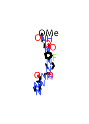 COC(=O)NC[C@H]1CN(c2ccc(N3CCCN(C(=O)CNC(=O)c4cn5ccncc5n4)CC3)c(F)c2)C(=O)O1